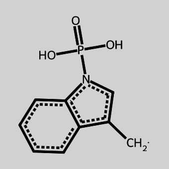 [CH2]c1cn(P(=O)(O)O)c2ccccc12